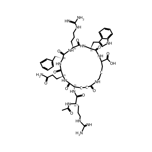 CC(=O)N[C@@H](CCCNC(=N)N)C(=O)N[C@H]1CCC(=O)NCCCC(C(=O)O)NC(=O)[C@H](Cc2c[nH]c3ccccc23)NC(=O)[C@H](CCCNC(=N)N)NC(=O)[C@@H](Cc2ccccc2)NC(=O)[C@H](CCC(N)=O)NC1=O